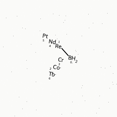 [BH2][Re].[Co].[Cr].[Nd].[Pt].[Tb]